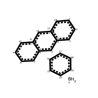 B.c1ccc2cc3ccccc3cc2c1.c1ccccc1